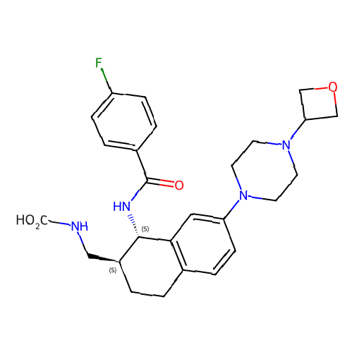 O=C(O)NC[C@@H]1CCc2ccc(N3CCN(C4COC4)CC3)cc2[C@H]1NC(=O)c1ccc(F)cc1